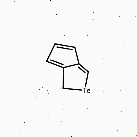 [CH]1[Te]C=C2C=CC=C12